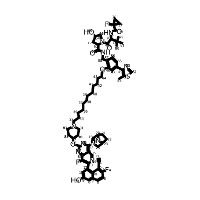 C#Cc1c(F)ccc2cc(O)cc(-c3ncc4c(N5CC6CCC(C5)N6)nc(OC5CCN(CCCCCCCCCCCCOc6cc(-c7ncsc7C)ccc6CNC(=O)C6C[C@@H](O)CN6C(=O)C(NC(=O)C6(F)CC6)C(C)(C)C)CC5)nc4c3F)c12